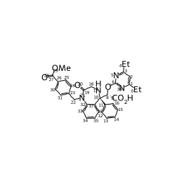 CCc1cc(CC)nc(O[C@H](C(=O)O)[C@@]2(c3ccccc3)NCC(=O)N(Cc3ccc(C(=O)OC)cc3)c3ccccc32)n1